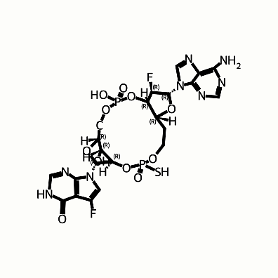 Nc1ncnc2c1ncn2[C@@H]1O[C@@H]2CCOP(=O)(S)O[C@@H]3[C@H](O)[C@@H](COP(=O)(O)O[C@H]2[C@H]1F)O[C@H]3n1cc(F)c2c(=O)[nH]cnc21